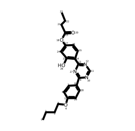 CCCCOc1ccc(-c2ncnc(-c3ccc(OC(=O)CCC)cc3O)n2)cc1